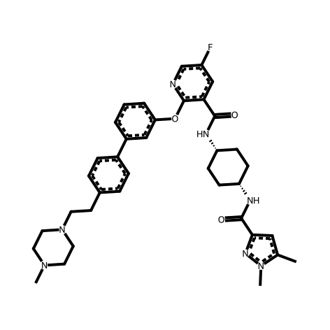 Cc1cc(C(=O)N[C@H]2CC[C@@H](NC(=O)c3cc(F)cnc3Oc3cccc(-c4ccc(CCN5CCN(C)CC5)cc4)c3)CC2)nn1C